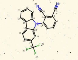 N#Cc1cccc(-n2c3ccccc3c3ccc(C(F)(F)F)cc32)c1C#N